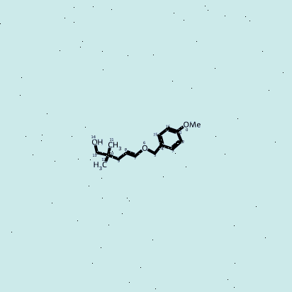 COc1ccc(COC=CCC(C)(C)CO)cc1